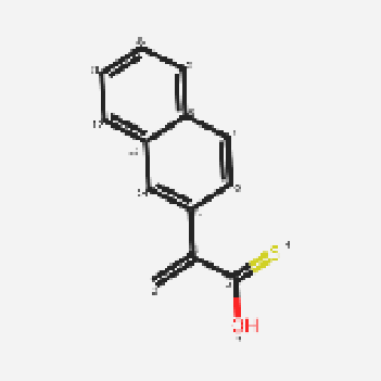 C=C(C(O)=S)c1ccc2ccccc2c1